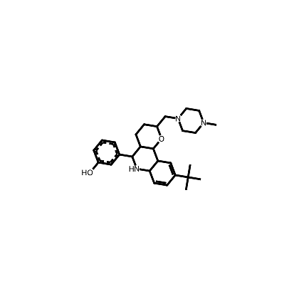 CN1CCN(CC2CCC3C(c4cccc(O)c4)NC4C=CC(C(C)(C)C)=CC4C3O2)CC1